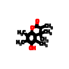 Cc1c(C)c2c(c(C)c1O)C(C)(C)C(C)C(=O)O2